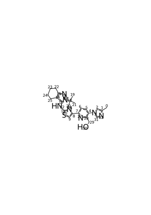 Cc1cn(-c2ccc(-c3csc(Nc4c5c(nn4C(C)(C)C)CCCC5)n3)nc2CO)cn1